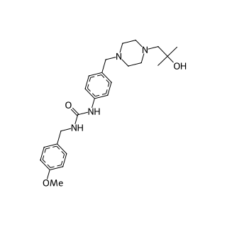 COc1ccc(CNC(=O)Nc2ccc(CN3CCN(CC(C)(C)O)CC3)cc2)cc1